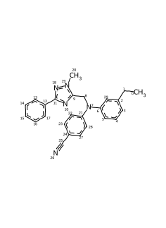 CCc1cccc(N(Cc2nc(-c3ccccc3)nn2C)c2ccc(C#N)cc2)c1